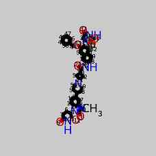 Cn1c(=O)n(C2CCC(=O)NC2=O)c2ccc(C3CCN(C4CC(C(=O)Nc5ccc6c(F)c(N7CC(=O)NS7(=O)=O)c(OCc7ccccc7)cc6c5)C4)CC3)cc21